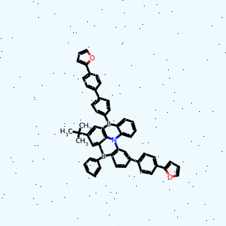 CC(C)(C)c1cc2c3c(c1)B(c1ccccc1)c1ccc(-c4ccc(-c5ccco5)cc4)cc1N3c1ccccc1B2c1ccc(-c2ccc(-c3ccco3)cc2)cc1